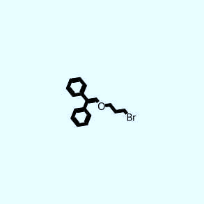 BrCCCOC=C(c1ccccc1)c1ccccc1